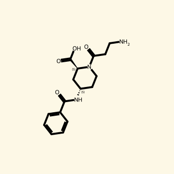 NCCC(=O)N1CC[C@H](NC(=O)c2ccccc2)C[C@H]1C(=O)O